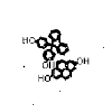 Oc1cc2ccc3cc(O)cc4ccc(c1)c2c34.Oc1ccc(C2(c3ccc(O)cc3)c3ccccc3-c3ccccc32)cc1